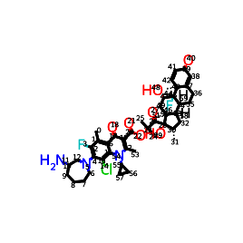 Cc1c(F)c(N2CCCC[C@@H](N)C2)c(Cl)c2c1c(=O)c(C(=O)OC(C)(C)C(=O)[C@@]1(O)[C@@H](C)C[C@H]3[C@@H]4CCC5=CC(=O)C=C[C@]5(C)[C@@]4(F)[C@@H](O)C[C@@]31C)c(C)n2C1CC1